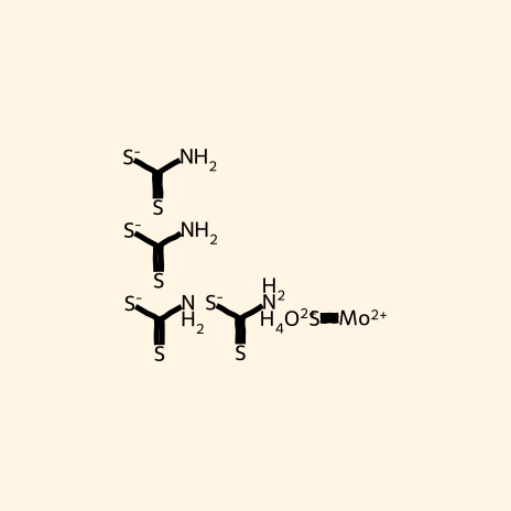 NC(=S)[S-].NC(=S)[S-].NC(=S)[S-].NC(=S)[S-].[OH4+2].[S]=[Mo+2]